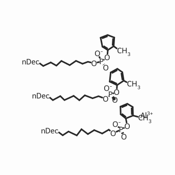 CCCCCCCCCCCCCCCCCCOP(=O)([O-])Oc1ccccc1C.CCCCCCCCCCCCCCCCCCOP(=O)([O-])Oc1ccccc1C.CCCCCCCCCCCCCCCCCCOP(=O)([O-])Oc1ccccc1C.[Al+3]